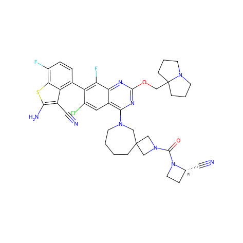 N#Cc1c(N)sc2c(F)ccc(-c3c(Cl)cc4c(N5CCCCC6(CN(C(=O)N7CC[C@H]7C#N)C6)C5)nc(OCC56CCCN5CCC6)nc4c3F)c12